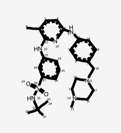 Cc1ccc(Nc2ccc(CN3CCN(C)CC3)cc2)nc1Nc1cccc(S(=O)(=O)NC(C)(C)C)c1